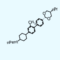 CCCCCC1CCC(c2ccc(-c3ccc([C@H]4OC[C@H](CCC)CO4)cc3)c(C)c2)CC1